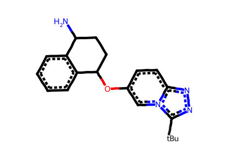 CC(C)(C)c1nnc2ccc(OC3CCC(N)c4ccccc43)cn12